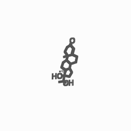 CC(O)C1(O)CCC2C3CCC4=CC(=O)CCC4(C)C3CC[C@@]21C